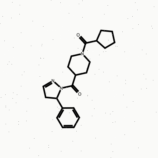 O=C(C1CCCC1)N1CCC(C(=O)N2N=CCC2c2ccccc2)CC1